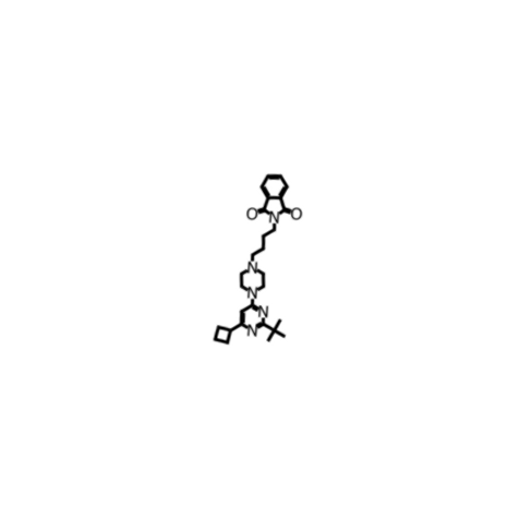 CC(C)(C)c1nc(C2CCC2)cc(N2CCN(CCCCN3C(=O)c4ccccc4C3=O)CC2)n1